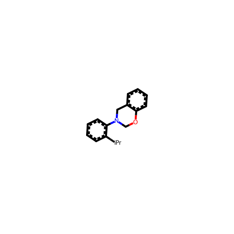 CC(C)c1ccccc1N1COc2ccccc2C1